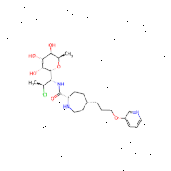 C[C@H](Cl)[C@@H](NC(=O)[C@@H]1CC[C@H](CCCOc2cccnc2)CCN1)[C@H]1O[C@H](C)[C@H](O)[C@@H](O)[C@H]1O